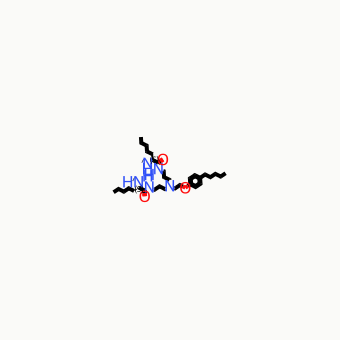 CCCCCc1ccc(OCCN(CCCNC(=O)[C@H](CCCCC)NC)CCCNC(=O)[C@H](CCCCC)NC)cc1